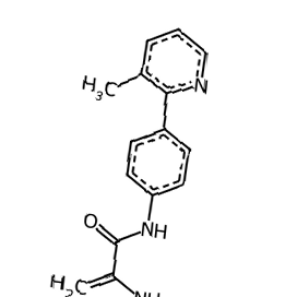 C=C(N)C(=O)Nc1ccc(-c2ncccc2C)cc1